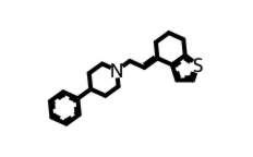 C(CN1CCC(c2ccccc2)CC1)=C1CCCc2sccc21